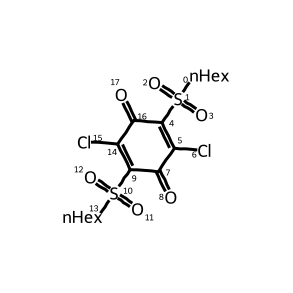 CCCCCCS(=O)(=O)C1=C(Cl)C(=O)C(S(=O)(=O)CCCCCC)=C(Cl)C1=O